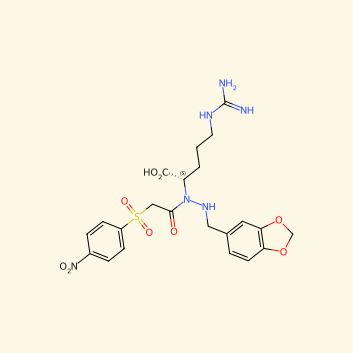 N=C(N)NCCC[C@@H](C(=O)O)N(NCc1ccc2c(c1)OCO2)C(=O)CS(=O)(=O)c1ccc([N+](=O)[O-])cc1